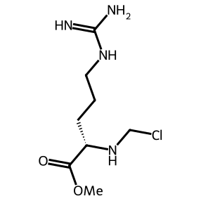 COC(=O)[C@H](CCCNC(=N)N)NCCl